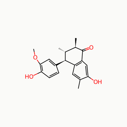 COc1cc([C@@H]2c3cc(C)c(O)cc3C(=O)[C@H](C)[C@H]2C)ccc1O